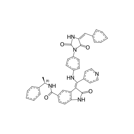 C[C@@H](NC(=O)c1ccc2c(c1)C(=C(Nc1ccc(N3C(=O)NC(=Cc4ccccc4)C3=O)cc1)c1ccncc1)C(=O)N2)c1ccccc1